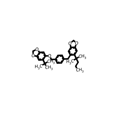 CCCC(C)(C)c1cc2c(cc1Cc1ccc(COc3cc4c(cc3C(C)(C)C)OCO4)cc1)OCO2